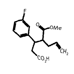 C=CCC(C(=O)OC)C(CC(=O)O)c1cccc(F)c1